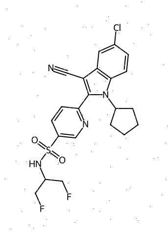 N#Cc1c(-c2ccc(S(=O)(=O)NC(CF)CF)cn2)n(C2CCCC2)c2ccc(Cl)cc12